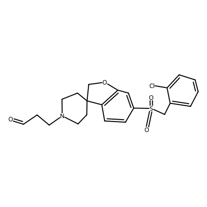 O=CCCN1CCC2(CC1)COc1cc(S(=O)(=O)Cc3ccccc3Cl)ccc12